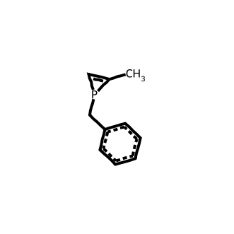 CC1=CP1Cc1ccccc1